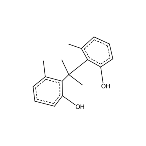 Cc1cccc(O)c1C(C)(C)c1c(C)cccc1O